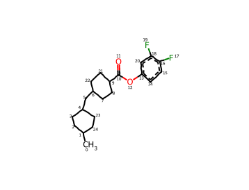 CC1CCC(CC2CCC(C(=O)Oc3ccc(F)c(F)c3)CC2)CC1